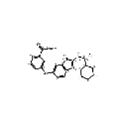 CNC(=O)c1cc(Oc2ccc3nc(N[C@H](C)C4CCCCC4)[nH]c3c2)ccn1